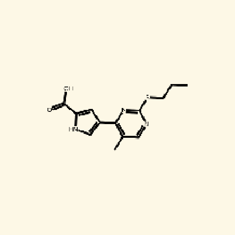 CCCSc1ncc(C)c(-c2c[nH]c(C(=O)O)c2)n1